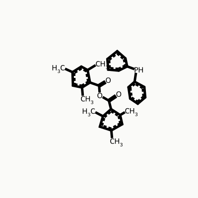 Cc1cc(C)c(C(=O)OC(=O)c2c(C)cc(C)cc2C)c(C)c1.c1ccc(Pc2ccccc2)cc1